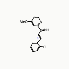 COc1ccnc(S(=N)/C=C/c2ccccc2Cl)c1